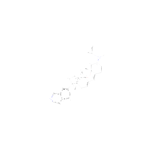 CN(C1CC1)[C@H]1CCC2=CC3=CC[C@]4(C)C(c5ccc6ccncc6c5)CC[C@H]4[C@@]34CC[C@]2(C1)O4